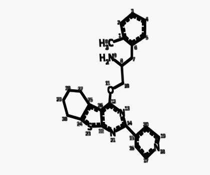 Cc1ccccc1CC(N)COc1nc(-c2ccncc2)nc2sc3c(c12)CCCC3